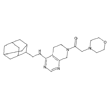 O=C(CN1CCOCC1)N1CCc2c(ncnc2NCC2C3CC4CC(C3)CC2C4)C1